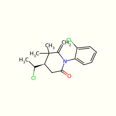 C=C1N(c2ccccc2Cl)C(=O)C[C@@H](C(C)Cl)C1(C)C